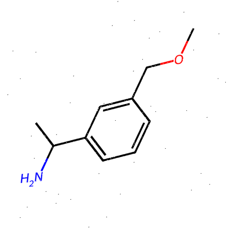 COCc1cccc(C(C)N)c1